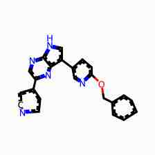 c1ccc(COc2ccc(-c3c[nH]c4ncc(-c5ccncc5)nc34)cn2)cc1